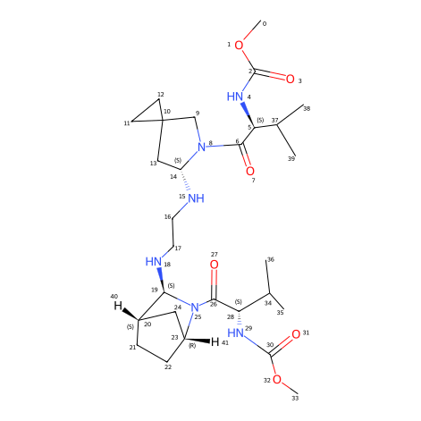 COC(=O)N[C@H](C(=O)N1CC2(CC2)C[C@H]1NCCN[C@@H]1[C@H]2CC[C@H](C2)N1C(=O)[C@@H](NC(=O)OC)C(C)C)C(C)C